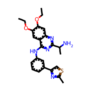 CCOc1cc2nc(C(C)N)nc(Nc3cccc(-c4csc(C)n4)c3)c2cc1OCC